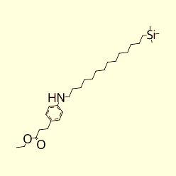 CCOC(=O)CCc1ccc(NCCCCCCCCCCCCCC[Si](C)(C)C)cc1